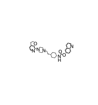 O=C(N[C@H]1CC[C@H](CCN2CCN(c3nccc4c3OCC4)CC2)CC1)Oc1ccc2ncccc2c1